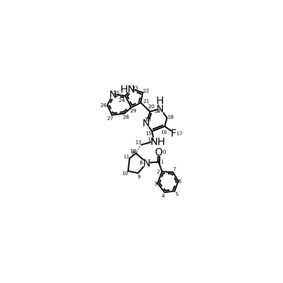 O=C(c1ccccc1)N1CCC[C@@H]1CNC1=C(F)CNC(c2c[nH]c3ncccc23)=N1